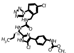 CCC[C@H](NC(=O)NCc1cc(Cl)ccc1-n1cnnn1)c1nc(-c2ccc(NC(=O)OC)cc2)c(Cl)[nH]1